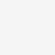 CCCCc1ccc(OCc2ccc(C(=O)O)o2)cn1